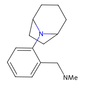 CNCc1ccccc1N1C2CCCC1CC2